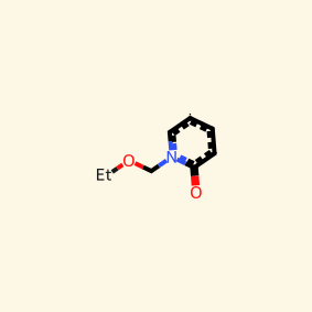 CCOCn1c[c]ccc1=O